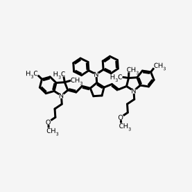 COCCCN1/C(=C/C=C2\CCC(/C=C/C3N(CCCOC)c4ccc(C)cc4C3(C)C)=C2N(c2ccccc2)c2ccccc2)C(C)(C)c2cc(C)ccc21